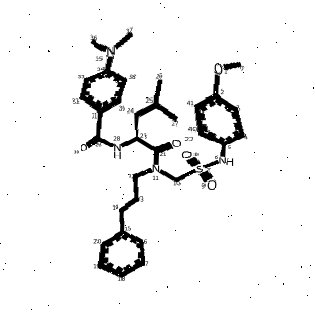 COc1ccc(NS(=O)(=O)CN(CCCc2ccccc2)C(=O)[C@H](CC(C)C)NC(=O)c2ccc(N(C)C)cc2)cc1